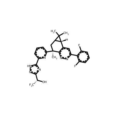 CC1(C)C2C[C@](C)(c3cccc(-c4nc([C@H](O)C(F)(F)F)n[nH]4)n3)c3nnc(-c4c(F)cccc4F)cc3[C@H]21